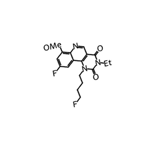 CCn1c(=O)c2cnc3c(OC)cc(F)cc3c2n(CCCCF)c1=O